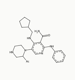 CC(=O)C1CNCCN1c1cnc(Nc2ccccc2)c(C(N)=O)c1NCC1CCCC1